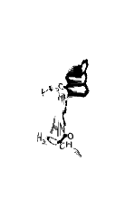 C=C(C)C(=O)NCCCNc1ccc2cc3ccccc3cc2c1C